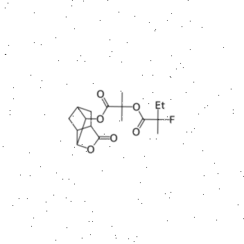 CCC(C)(F)C(=O)OC(C)(C)C(=O)OC1C2CC3C(=O)OC1C3C2